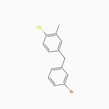 Cc1cc(Cc2cccc(Br)c2)ccc1S